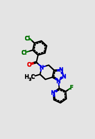 CC1Cc2c(nnn2-c2ncccc2F)CN1C(=O)c1cccc(Cl)c1Cl